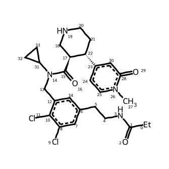 CCC(=O)NCCc1cc(Cl)c(Cl)c(CN(C(=O)[C@H]2CNCC[C@@H]2c2ccn(C)c(=O)c2)C2CC2)c1